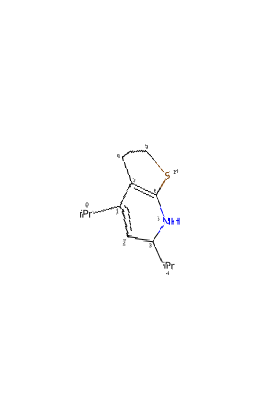 CC(C)C1=CC(C(C)C)NC2=C1CCS2